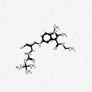 CCOC(=O)c1c(C)n(C)c2ccc(OC/C(=C/F)CNC(=O)OC(C)(C)C)cc12